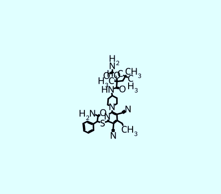 CCc1c(C#N)c(SC(C(N)=O)c2ccccc2)nc(N2CCC(NC(=O)C(C)(CC(C)(C)C)OC(N)=O)CC2)c1C#N